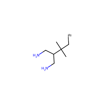 CC(C)CC(C)(C)C(CN)CN